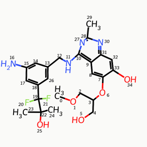 COCC(CO)Oc1cc2c(NCc3cc(N)cc(C(F)(F)C(C)(C)O)c3)nc(C)nc2cc1O